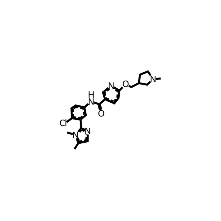 Cc1cnc(-c2cc(NC(=O)c3ccc(OCC4CCN(C)C4)nc3)ccc2Cl)n1C